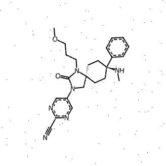 CN[C@]1(c2ccccc2)CC[C@]2(CC1)CN(c1cnc(C#N)nc1)C(=O)N2CCCOC